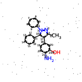 Cc1nn(-c2ccccc2)c(-c2ccccc2)c1-c1ccc(N)c(O)c1